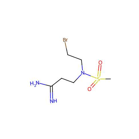 CS(=O)(=O)N(CCBr)CCC(=N)N